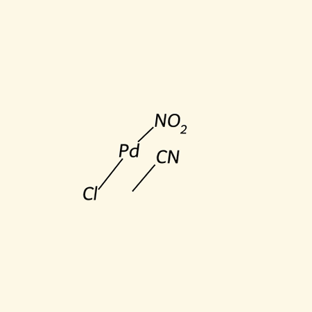 CC#N.O=[N+]([O-])[Pd][Cl]